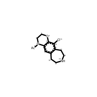 CC(=O)N1CCOc2c1cc1c(c2Cl)CCNCC1